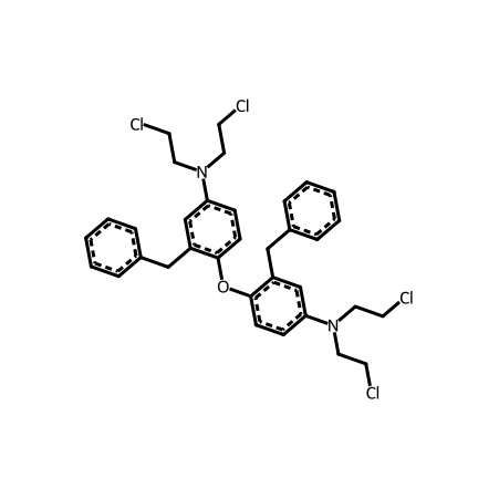 ClCCN(CCCl)c1ccc(Oc2ccc(N(CCCl)CCCl)cc2Cc2ccccc2)c(Cc2ccccc2)c1